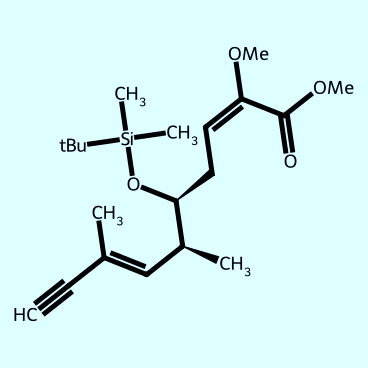 C#C/C(C)=C/[C@H](C)[C@H](C/C=C(/OC)C(=O)OC)O[Si](C)(C)C(C)(C)C